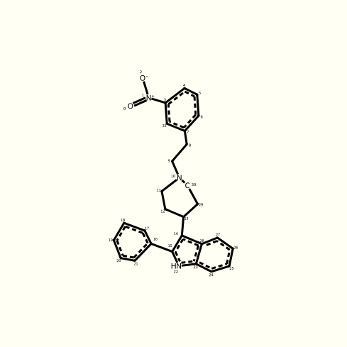 O=[N+]([O-])c1cccc(CCN2CCC(c3c(-c4ccccc4)[nH]c4ccccc34)CC2)c1